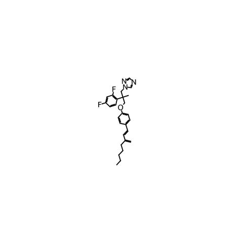 C=C(/C=C/c1ccc(OCC(C)(Cn2cncn2)c2ccc(F)cc2F)cc1)CCCCC